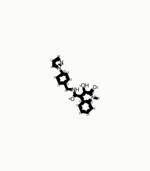 Cn1c(=O)c(O)c(C(=O)NCc2ccc(-n3cccn3)cc2)c2ccccc21